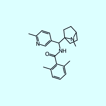 Cc1ccc(C(NC(=O)c2c(C)cccc2C)C23CCC(CC2)N3C)cn1